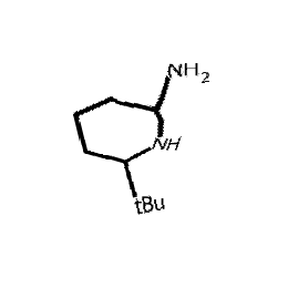 CC(C)(C)C1CCCC(N)N1